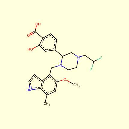 COc1cc(C)c2[nH]ccc2c1CN1CCN(CC(F)F)CC1c1ccc(C(=O)O)c(O)c1